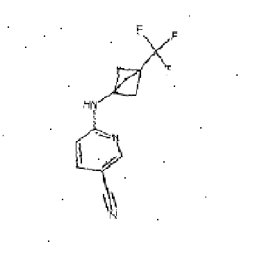 N#Cc1ccc(NC23CC(C(F)(F)F)(C2)C3)nc1